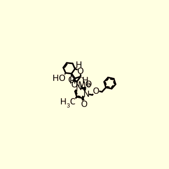 CO[C@H]1[C@H]2O[C@@H]3CC=C[C@H](O)C31O[C@H]2n1cc(C)c(=O)n(COCc2ccccc2)c1=O